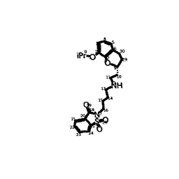 CC(C)Oc1cccc2c1O[C@@H](CCNCCCCN1C(=O)c3ccccc3S1(=O)=O)CC2